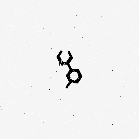 C/C=N\C(=C/C)c1cccc(C)c1